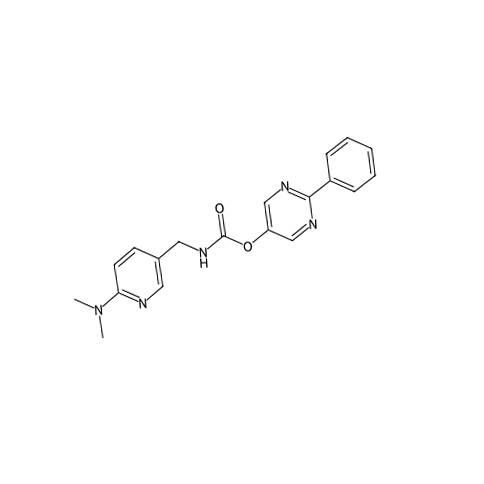 CN(C)c1ccc(CNC(=O)Oc2cnc(-c3ccccc3)nc2)cn1